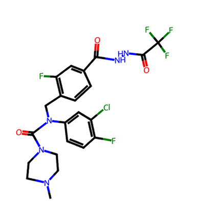 CN1CCN(C(=O)N(Cc2ccc(C(=O)NNC(=O)C(F)(F)F)cc2F)c2ccc(F)c(Cl)c2)CC1